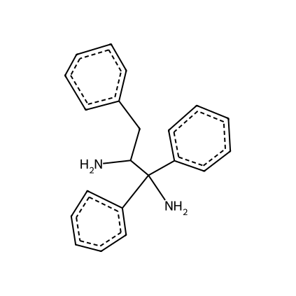 NC(Cc1ccccc1)C(N)(c1ccccc1)c1ccccc1